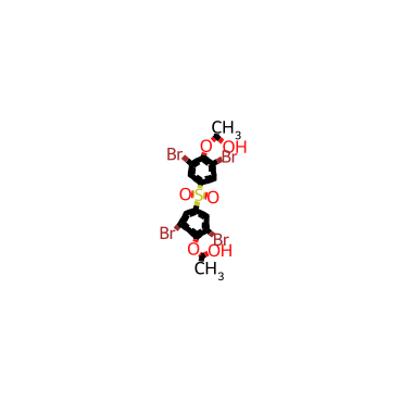 CC(O)Oc1c(Br)cc(S(=O)(=O)c2cc(Br)c(OC(C)O)c(Br)c2)cc1Br